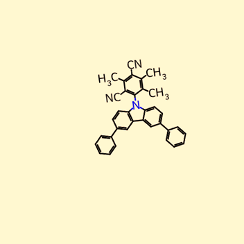 Cc1c(C)c(-n2c3ccc(-c4ccccc4)cc3c3cc(-c4ccccc4)ccc32)c(C#N)c(C)c1C#N